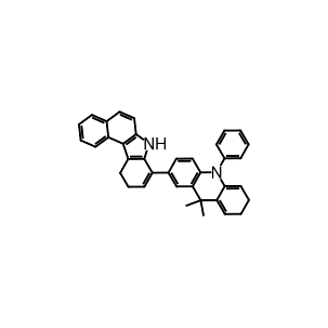 CC1(C)C2=CCCC=C2N(c2ccccc2)c2ccc(C3=CCCc4c3[nH]c3ccc5ccccc5c43)cc21